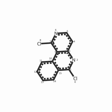 Clc1nc2ccnc(Cl)c2c2ccccc12